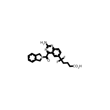 Nc1nc(C(=O)N2Cc3ccccc3C2)c2cc(C(F)(F)CCCC(=O)O)ccc2n1